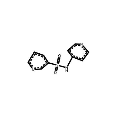 O=S(=O)(Nc1ccncc1)c1cccnc1